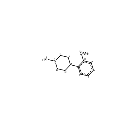 CCCN1CCC(c2ccccc2OC)CC1